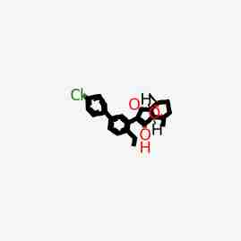 CCc1ccc(-c2ccc(Cl)cc2)cc1C1=C(O)[C@H]2[C@@H](C1=O)[C@]1(C)CCC2(C)O1